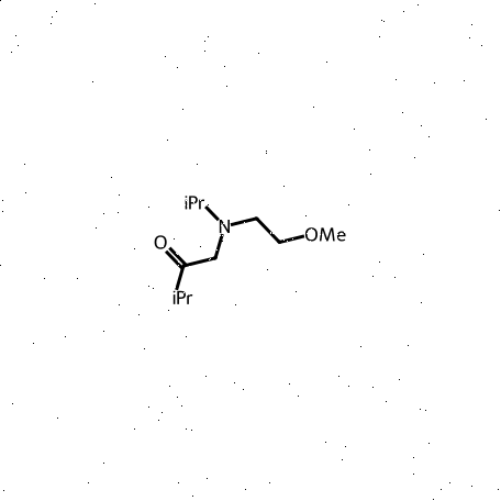 COCCN(CC(=O)C(C)C)C(C)C